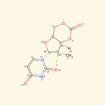 C[C@@]1(F)[C@@H]2OC(=O)OCC2O[C@H]1n1ccc(=O)[nH]c1=O